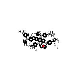 Cc1ccc(N(c2ccc3c(c2)C(C)(C)c2cc4c(N(c5ccc(C(C)C)cc5)c5cccs5)c5ccc(N(c6ccc(C(C)C)cc6)c6cccs6)cc5c(N(c5ccc(C(C)C)cc5)c5cccs5)c4cc2-3)c2cccs2)cc1